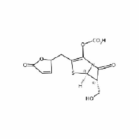 O=C(O)OC1=C(CC2C=CC(=O)O2)S[C@@H]2[C@@H](CO)C(=O)N12